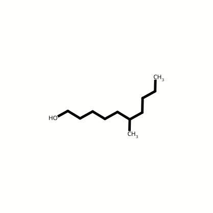 CCCCC(C)CCCCCO